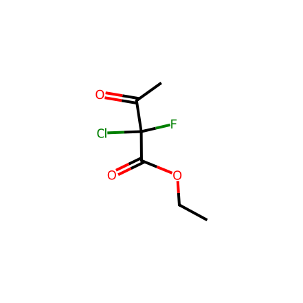 CCOC(=O)C(F)(Cl)C(C)=O